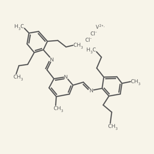 CCCc1cc(C)cc(CCC)c1N=Cc1cc(C)cc(C=Nc2c(CCC)cc(C)cc2CCC)n1.[Cl-].[Cl-].[V+2]